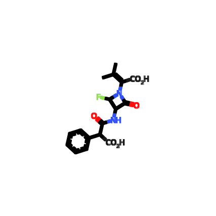 CC(C)=C(C(=O)O)N1C(=O)C(NC(=O)C(C(=O)O)c2ccccc2)C1F